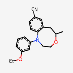 CCOc1cccc(N2CCOC(C)Cc3cc(C#N)ccc32)c1